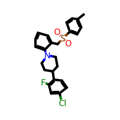 Cc1ccc(S(=O)(=O)Cc2ccccc2N2CCC(c3ccc(Cl)cc3F)CC2)cc1